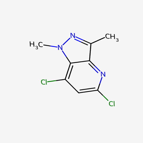 Cc1nn(C)c2c(Cl)cc(Cl)nc12